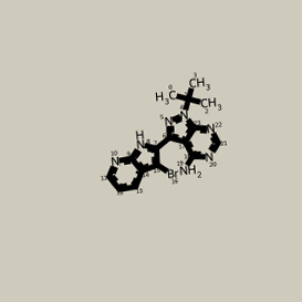 CC(C)(C)n1nc(-c2[nH]c3ncccc3c2Br)c2c(N)ncnc21